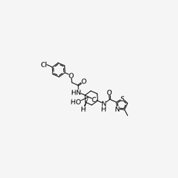 Cc1csc(C(=O)NC23CCC(NC(=O)COc4ccc(Cl)cc4)(CC2)[C@@H](O)C3)n1